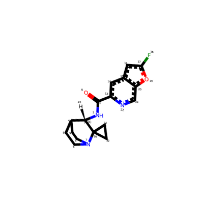 O=C(N[C@H]1C2CCN(CC2)C12CC2)c1cc2cc(F)oc2cn1